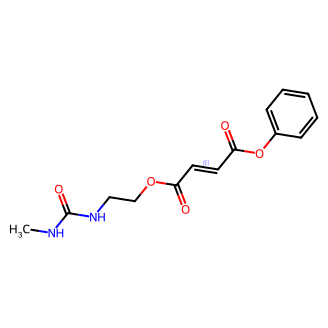 CNC(=O)NCCOC(=O)/C=C/C(=O)Oc1ccccc1